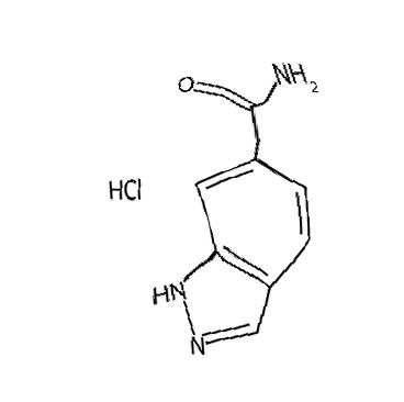 Cl.NC(=O)c1ccc2cn[nH]c2c1